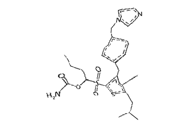 CCCC(OC(N)=O)S(=O)(=O)c1sc(CC(C)C)c(C)c1-c1ccc(Cn2ccnc2)cc1